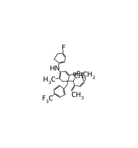 C=C/C=C\C(=C/C)C(C)C1(Cc2ccc(C(F)(F)F)cc2)CC(C)=C(NC2=CC=C(F)CC2)C=C1CCC